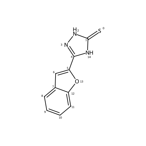 S=c1[nH]nc(-c2cc3ccccc3o2)[nH]1